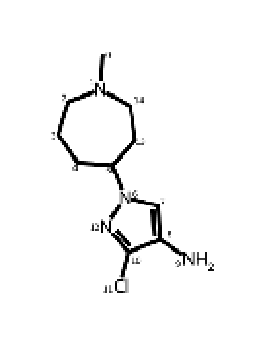 CN1CCCC(n2cc(N)c(Cl)n2)CC1